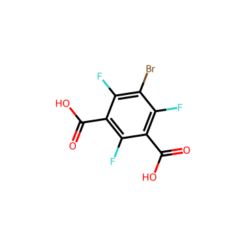 O=C(O)c1c(F)c(Br)c(F)c(C(=O)O)c1F